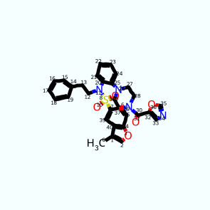 Cc1coc2ccc(S(=O)(=O)N(CCc3ccccc3)c3ccccc3N3CCN(C(=O)c4cnco4)CC3)cc12